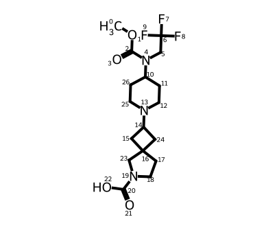 COC(=O)N(CC(F)(F)F)C1CCN(C2CC3(CCN(C(=O)O)C3)C2)CC1